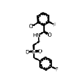 O=C(NCCS(=O)(=O)Cc1ccc(F)cc1)c1c(F)cccc1Cl